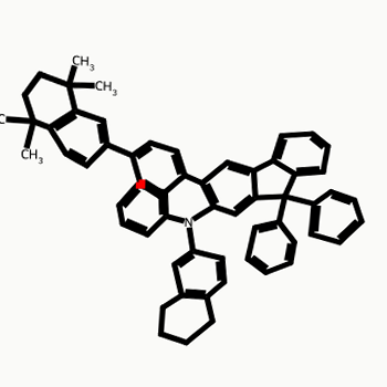 CC1(C)CCC(C)(C)c2cc(-c3ccc(-c4cc5c(cc4N(c4ccccc4)c4ccc6c(c4)CCCC6)C(c4ccccc4)(c4ccccc4)c4ccccc4-5)cc3)ccc21